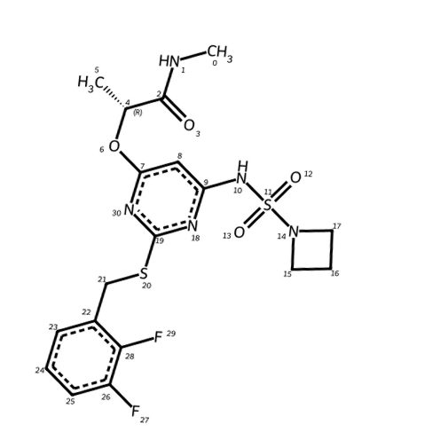 CNC(=O)[C@@H](C)Oc1cc(NS(=O)(=O)N2CCC2)nc(SCc2cccc(F)c2F)n1